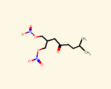 CC(C)CCC(=O)CC(CO[N+](=O)[O-])CO[N+](=O)[O-]